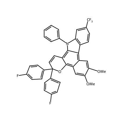 COc1cc2c3c(c4c(c2cc1OC)c1ccc(C(F)(F)F)cc1n4-c1ccccc1)C=CC(c1ccc(F)cc1)(c1ccc(F)cc1)O3